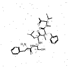 CC(=O)[C@H](C(C)C)N(C)C(=O)[C@H](Cc1ccccc1)N(C)C(=O)[C@H](CC(C)C)N[C@@H](NC(=O)[C@@H](N)Cc1ccccc1)[C@@H](C)O